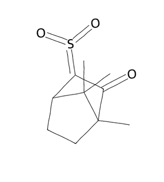 CC12CCC(C(=S(=O)=O)C1=O)C2(C)C